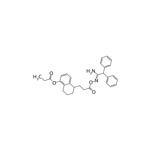 CCC(=O)Oc1cccc2c1CCCC2CCC(=O)ON=C(N)C(c1ccccc1)c1ccccc1